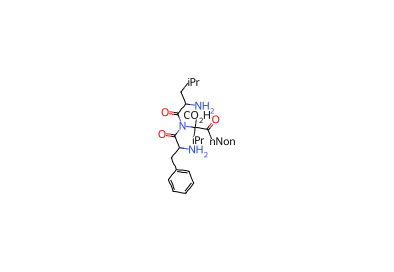 CCCCCCCCCC(=O)C(C(=O)O)(C(C)C)N(C(=O)C(N)Cc1ccccc1)C(=O)C(N)CC(C)C